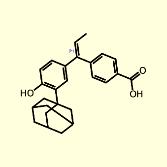 C/C=C(\c1ccc(C(=O)O)cc1)c1ccc(O)c(C23CC4CC(CC(C4)C2)C3)c1